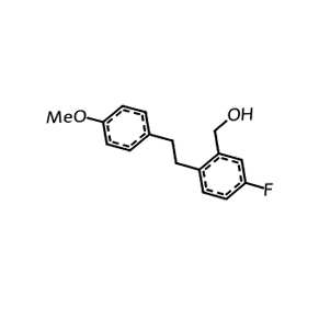 COc1ccc(CCc2ccc(F)cc2CO)cc1